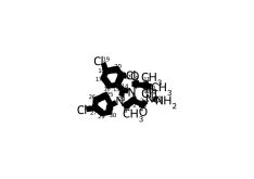 CC1=C(C(=O)NN)N(C(=O)C(C)(C)C)C(c2ccc(Cl)cc2Cl)N1c1ccc(Cl)cc1